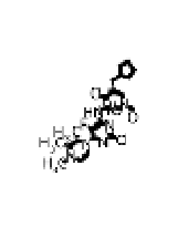 C[C@@H]1[C@H](C)N(c2nc(Cl)nc(NNC(=O)[C@@H](CC3CCCC3)CN(O)C=O)c2F)CCN1C